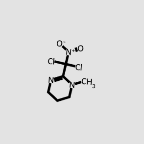 CN1CCCN=C1C(Cl)(Cl)[N+](=O)[O-]